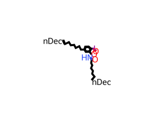 CCCCCCCCCCC=CCCCCCCc1ccc(I=O)c(C(=O)NC(=O)CCCCCCCCCCCCCCCCC)c1